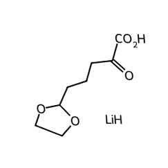 O=C(O)C(=O)CCCC1OCCO1.[LiH]